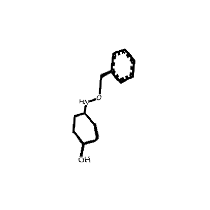 OC1CCC(NOCc2ccccc2)CC1